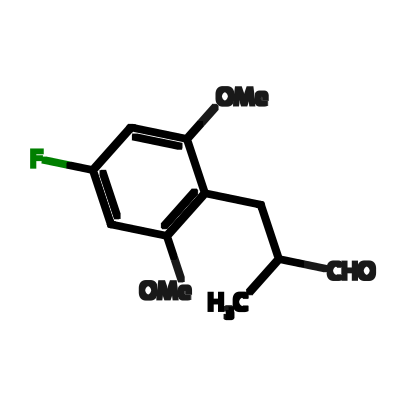 COc1cc(F)cc(OC)c1CC(C)C=O